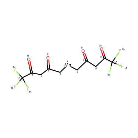 O=C([CH2][Mn][CH2]C(=O)CC(=O)C(F)(F)F)CC(=O)C(F)(F)F